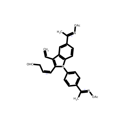 C=Cc1c(/C=C\CC=O)n(-c2ccc(/C(C)=N/OC(C)=O)cc2)c2ccc(/C(C)=N/OC(C)=O)cc12